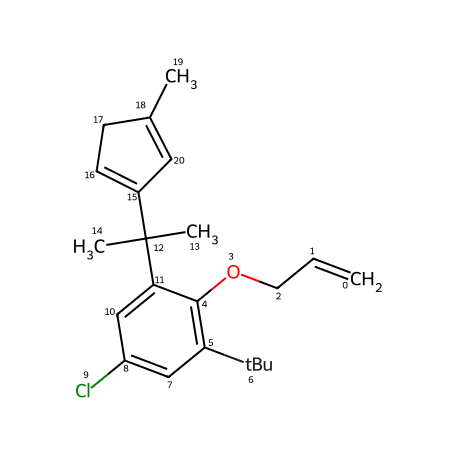 C=CCOc1c(C(C)(C)C)cc(Cl)cc1C(C)(C)C1=CCC(C)=C1